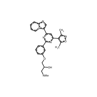 CNCC(O)COc1cccc(-c2nc(-c3c(C)noc3C)cc(-c3cnc4ccccn34)n2)c1